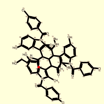 CCCCNC(=O)C(c1c(C)n(C(=O)c2ccc(Cl)cc2)c2ccc(O)cc12)C(C(C(=O)NCCO)c1c(C)n(C(=O)c2ccc(Cl)cc2)c2ccc(O)cc12)C(C(=O)NC(C)CC)c1c(C)n(C(=O)c2ccc(Cl)cc2)c2ccc(O)cc12